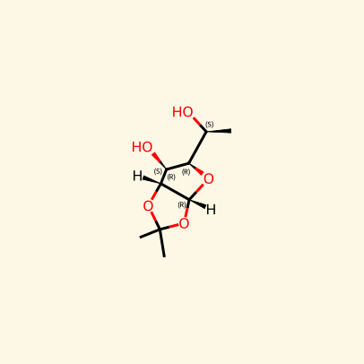 C[C@H](O)[C@H]1O[C@@H]2OC(C)(C)O[C@@H]2[C@H]1O